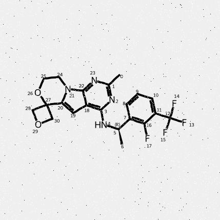 Cc1nc(N[C@H](C)c2cccc(C(F)(F)F)c2F)c2cc3n(c2n1)CCOC31COC1